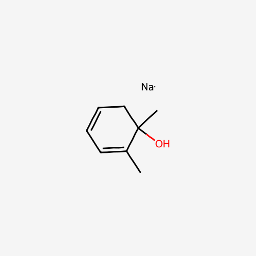 CC1=CC=CCC1(C)O.[Na]